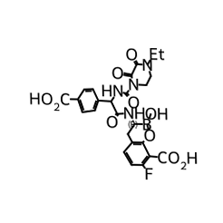 CCN1CCN(C(=O)NC(C(=O)N[C@H]2Cc3ccc(F)c(C(=O)O)c3OB2O)c2ccc(C(=O)O)cc2)C(=O)C1=O